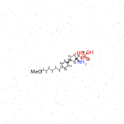 COCCCCCCc1ccc([C@H]2CC[C@@](N)(COP(=O)(O)O)C2)cc1